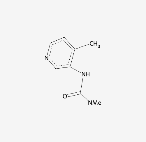 CNC(=O)Nc1[c]nccc1C